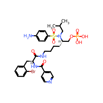 CC(C)CN([C@@H](CCCCNC(=O)[C@H](Cc1ccccc1Br)NC(=O)c1ccncc1)COP(=O)(O)O)S(=O)(=O)c1ccc(N)cc1